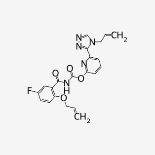 C=CCOc1ccc(F)cc1C(=O)NC(=O)Oc1cccc(-c2nncn2CC=C)n1